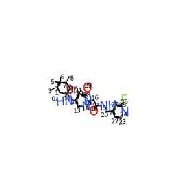 C[C@@H]1[C@@H](C)C(C)(C)[C@@H](C)C[C@H]1Nc1cnn(CC(=O)NCc2ccnc(F)c2)c(=O)c1Br